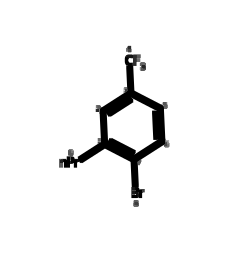 CCCc1cc(C(F)(F)F)ccc1Br